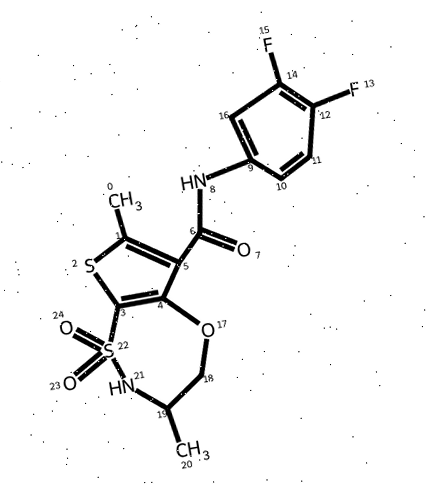 Cc1sc2c(c1C(=O)Nc1ccc(F)c(F)c1)OCC(C)NS2(=O)=O